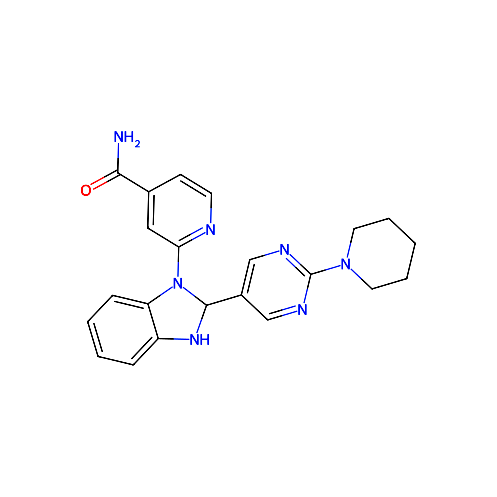 NC(=O)c1ccnc(N2c3ccccc3NC2c2cnc(N3CCCCC3)nc2)c1